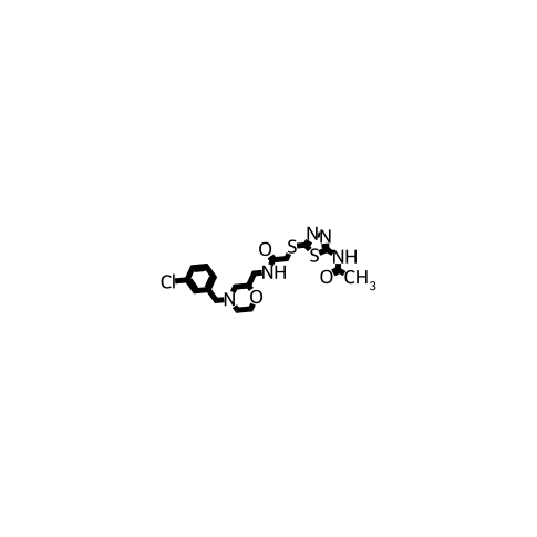 CC(=O)Nc1nnc(SCC(=O)NCC2CN(Cc3cccc(Cl)c3)CCO2)s1